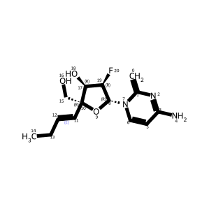 C=C1N=C(N)C=CN1[C@@H]1O[C@](/C=C/CC)(CO)[C@@H](O)[C@H]1F